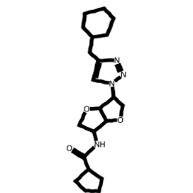 O=C(NC1COC2C1OCC2n1cc(CC2CCCCC2)nn1)C1CCCC1